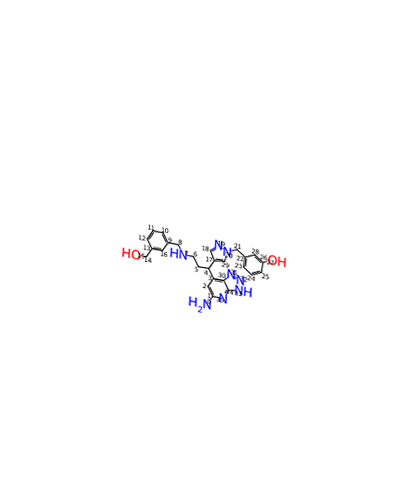 Nc1cc(C(CCNCc2cccc(CO)c2)c2cnn(Cc3cccc(O)c3)c2)c2nn[nH]c2n1